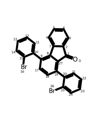 O=C1c2ccccc2-c2c(-c3ccccc3Br)ccc(-c3ccccc3Br)c21